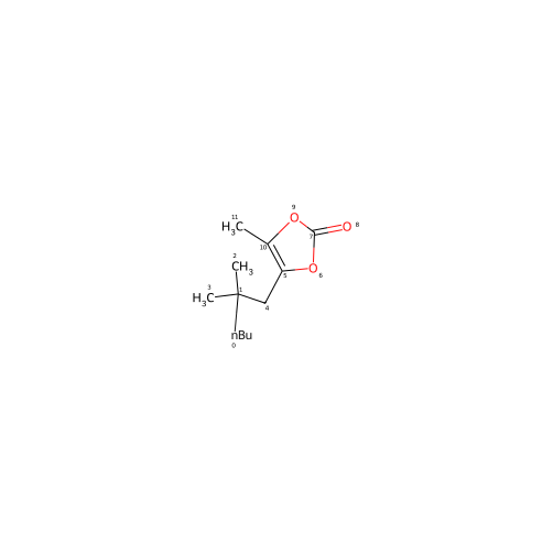 CCCCC(C)(C)Cc1oc(=O)oc1C